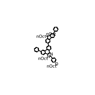 CCCCCCCCOc1ccc(-c2nc3c4ccc(-c5ccc6c(c5)-c5ccc(-c7ccccc7)cc5C6(CCCCCCCC)CCCCCCCC)cc4c4cc(-c5ccccc5)ccc4c3n2CCCCCCCC)cc1